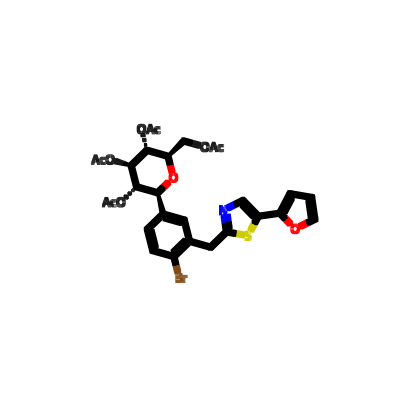 CC(=O)OC[C@H]1O[C@@H](c2ccc(Br)c(Cc3ncc(-c4ccco4)s3)c2)[C@H](OC(C)=O)[C@@H](OC(C)=O)[C@@H]1OC(C)=O